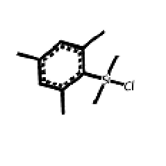 Cc1cc(C)c([Si](C)(C)Cl)c(C)c1